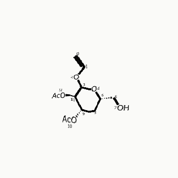 C=COC1O[C@H](CO)C[C@H](OC(C)=O)[C@H]1OC(C)=O